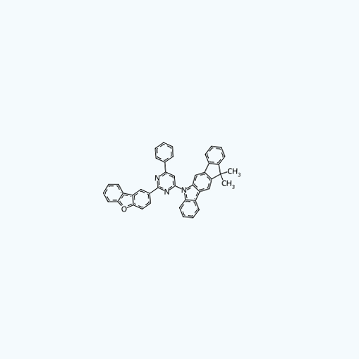 CC1(C)c2ccccc2-c2cc3c(cc21)c1ccccc1n3-c1cc(-c2ccccc2)nc(-c2ccc3oc4ccccc4c3c2)n1